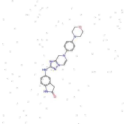 O=C1Cc2cc(Nc3nc4n(n3)C=CN(c3ccc(N5CCOCC5)cc3)C4)ccc2N1